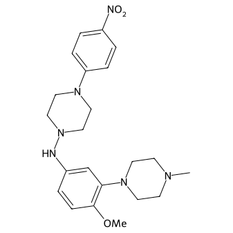 COc1ccc(NN2CCN(c3ccc([N+](=O)[O-])cc3)CC2)cc1N1CCN(C)CC1